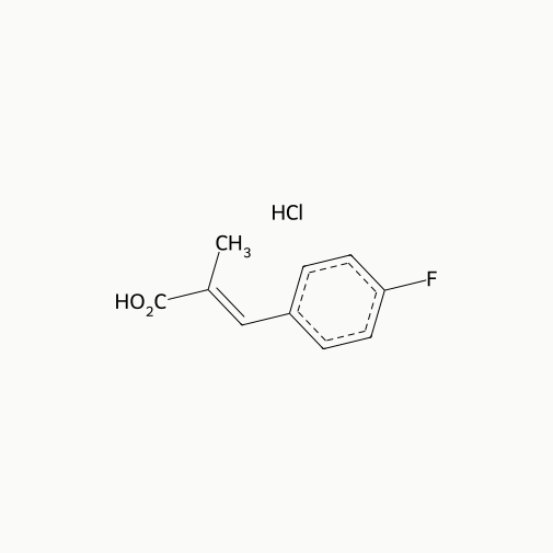 CC(=Cc1ccc(F)cc1)C(=O)O.Cl